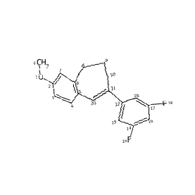 COc1ccc2c(c1)CCCC(c1cc(F)cc(F)c1)=[C]2